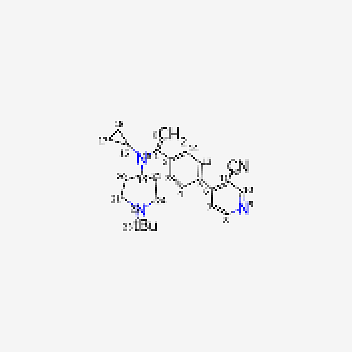 C=C(c1ccc(-c2ccncc2C#N)cc1)N(C1CC1)C1CCN(C(C)(C)C)CC1